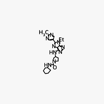 CCn1c(-c2cnc(C)nc2)nc2c(NC3CCN(C(=O)NC4CCCCC4)C3)ncnc21